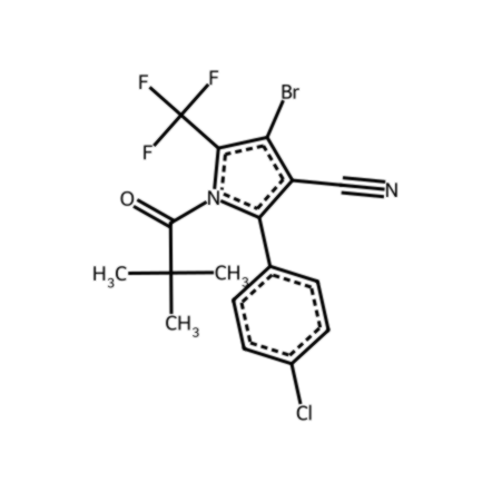 CC(C)(C)C(=O)n1c(-c2ccc(Cl)cc2)c(C#N)c(Br)c1C(F)(F)F